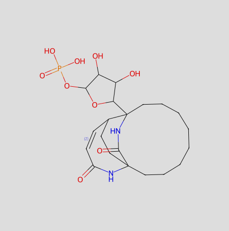 O=C1/C=C\C2CCC3(CCCCCCCCC2(C2OC(OP(=O)(O)O)C(O)C2O)NC3=O)N1